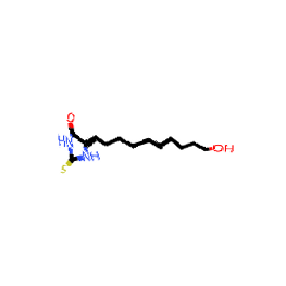 O=C1NC(=S)NC1=CCCCCCCCCCO